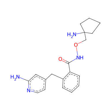 Nc1cc(Cc2ccccc2C(=O)NOCC2(N)CCCC2)ccn1